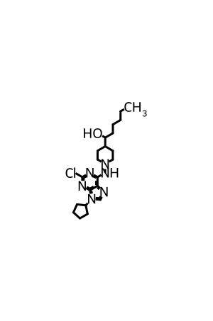 CCCCCC(O)C1CCN(Nc2nc(Cl)nc3c2ncn3C2CCCC2)CC1